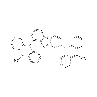 N#Cc1c2ccccc2c(-c2ccc3c(c2)sc2c(C4=C5C=CC=CC5C(C#N)c5ccccc54)cccc23)c2ccccc12